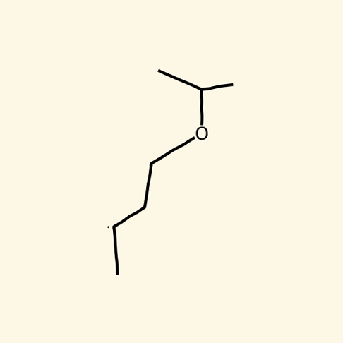 C[CH]CCOC(C)C